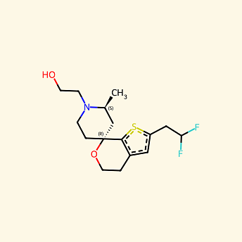 C[C@H]1C[C@@]2(CCN1CCO)OCCc1cc(CC(F)F)sc12